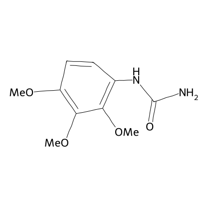 COc1ccc(NC(N)=O)c(OC)c1OC